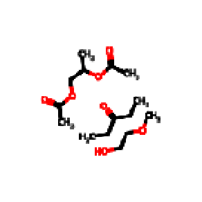 CC(=O)OCC(C)OC(C)=O.CCC(=O)CC.COCCO